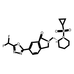 O=C1c2cc(-c3nnc(C(F)F)o3)ccc2CN1C[C@H]1CCCCN1S(=O)(=O)C1CC1